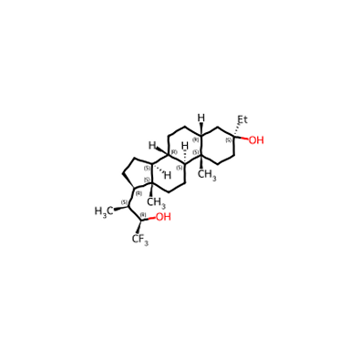 CC[C@]1(O)CC[C@@]2(C)[C@H](CC[C@@H]3[C@@H]2CC[C@]2(C)[C@@H]([C@H](C)[C@@H](O)C(F)(F)F)CC[C@@H]32)C1